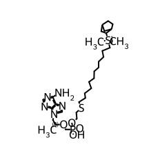 C[C@H](Cn1cnc2c(N)ncnc21)OCP(=O)(O)OCCSCCCCCCCCCCCC[Si](C)(C)C1CC2CCC1C2